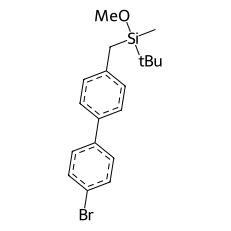 CO[Si](C)(Cc1ccc(-c2ccc(Br)cc2)cc1)C(C)(C)C